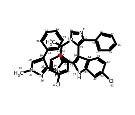 CC(c1ccc(Cl)cc1)n1cnc(-c2ccccc2)c1-c1c(C(=O)Nc2nn(C)cc2-c2ccccc2)[nH]c2cc(Cl)ccc12